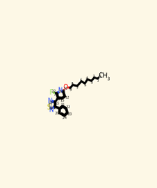 CCCCCCCCCCOc1ccc(-c2nsnc2-c2ccccc2)c(F)n1